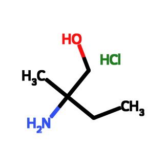 CCC(C)(N)CO.Cl